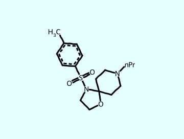 CCCN1CCC2(CC1)OCCN2S(=O)(=O)c1ccc(C)cc1